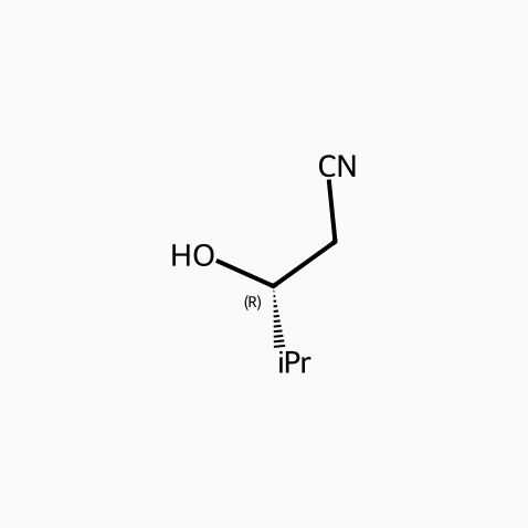 CC(C)[C@H](O)CC#N